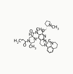 C=CC(=O)N1C[C@@H]2C(=O)N(C)c3c(OC[C@@H]4CCCN4C)nc4c(c3N2C[C@H]1C)CCN(c1cccc2c1N(C)CCC2)C4